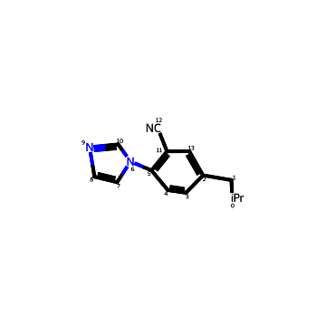 CC(C)Cc1ccc(-n2ccnc2)c(C#N)c1